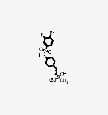 CC(C)(C)[Si](C)(C)OCC1CCC(NS(=O)(=O)c2ccc(Br)c(F)c2)CC1